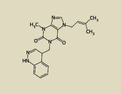 CC(C)=CCn1cnc2c1c(=O)n(CC1C=NNc3ccccc31)c(=O)n2C